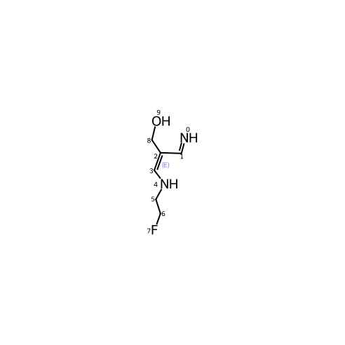 N=C/C(=C\NCCF)CO